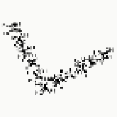 O[Si](O)(O)O.O[Si](O)(O)O.O[Si](O)(O)O.O[Si](O)(O)O.O[Si](O)(O)O.O[Si](O)(O)O.O[Si](O)(O)O.O[Si](O)(O)O.O[Si](O)(O)O.O[Si](O)(O)O.O[Si](O)(O)O